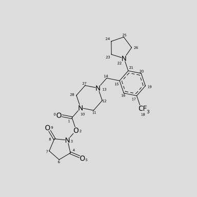 O=C(ON1C(=O)CCC1=O)N1CCN(Cc2cc(C(F)(F)F)ccc2N2CCCC2)CC1